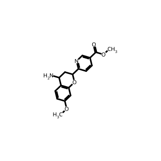 COC(=O)c1ccc(C2CC(N)c3ccc(OC)cc3O2)nc1